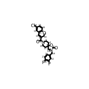 O=C1OC2(CCN(C(=O)C3=Cc4cc(Cl)ccc4OC3)CC2)CN1Cc1ccc(F)c(F)c1